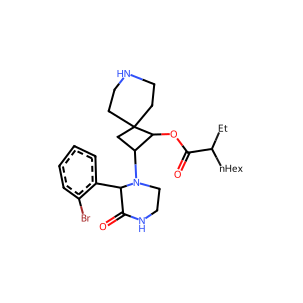 CCCCCCC(CC)C(=O)OC1C(N2CCNC(=O)C2c2ccccc2Br)CC12CCNCC2